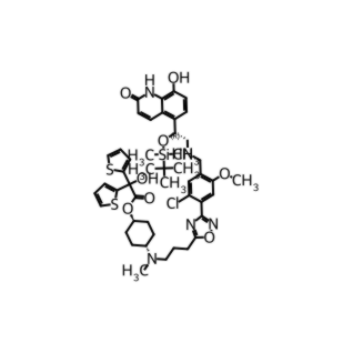 COc1cc(-c2noc(CCCN(C)[C@H]3CC[C@H](OC(=O)C(O)(c4cccs4)c4cccs4)CC3)n2)c(Cl)cc1CNC[C@H](O[Si](C)(C)C(C)(C)C)c1ccc(O)c2[nH]c(=O)ccc12